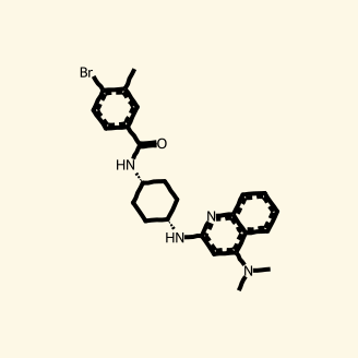 Cc1cc(C(=O)N[C@H]2CC[C@@H](Nc3cc(N(C)C)c4ccccc4n3)CC2)ccc1Br